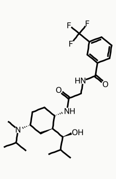 CC(C)[C@H](O)[C@H]1C[C@H](N(C)C(C)C)CC[C@@H]1NC(=O)CNC(=O)c1cccc(C(F)(F)F)c1